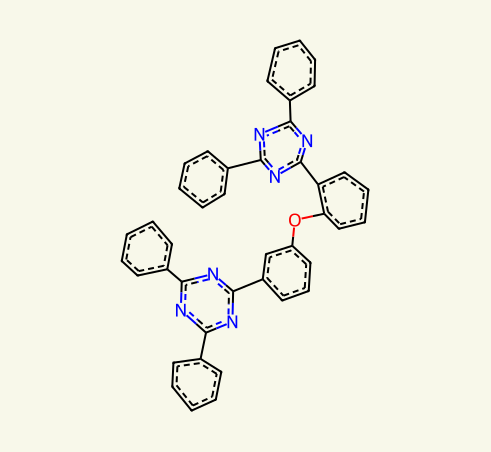 c1ccc(-c2nc(-c3ccccc3)nc(-c3cccc(Oc4ccccc4-c4nc(-c5ccccc5)nc(-c5ccccc5)n4)c3)n2)cc1